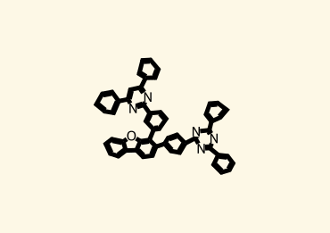 c1ccc(-c2cc(-c3ccccc3)nc(-c3cccc(-c4c(-c5ccc(-c6nc(-c7ccccc7)nc(-c7ccccc7)n6)cc5)ccc5c4oc4ccccc45)c3)n2)cc1